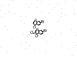 Cn1cc(C=O)c(=O)c2ccc(Br)cc21.Cn1ccc(=O)c2ccc(Br)cc21